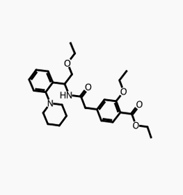 CCOCC(NC(=O)Cc1ccc(C(=O)OCC)c(OCC)c1)c1ccccc1N1CCCCC1